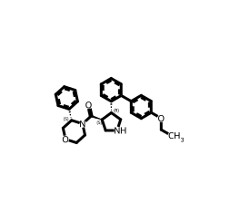 CCOc1ccc(-c2ccccc2[C@@H]2CNC[C@H]2C(=O)N2CCOC[C@@H]2c2ccccc2)cc1